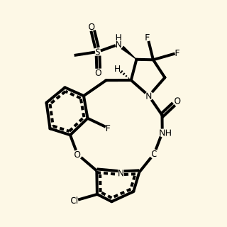 CS(=O)(=O)N[C@@H]1[C@@H]2Cc3cccc(c3F)Oc3nc(ccc3Cl)CNC(=O)N2CC1(F)F